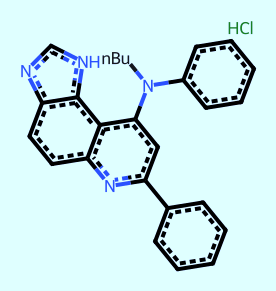 CCCCN(c1ccccc1)c1cc(-c2ccccc2)nc2ccc3nc[nH]c3c12.Cl